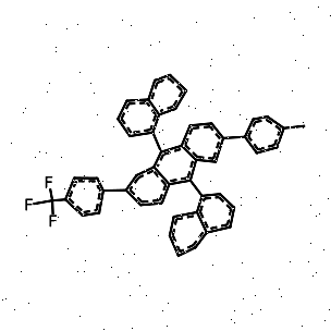 Cc1ccc(-c2ccc3c(-c4cccc5ccccc45)c4cc(-c5ccc(C(F)(F)F)cc5)ccc4c(-c4cccc5ccccc45)c3c2)cc1